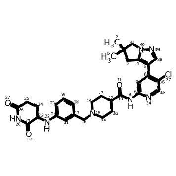 CC1(C)Cc2c(-c3cc(NC(=O)C4CCN(Cc5cccc(NC6CCC(=O)NC6=O)c5)CC4)ncc3Cl)cnn2C1